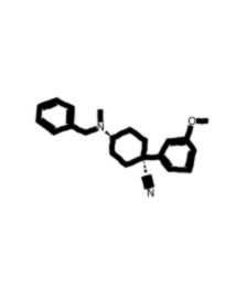 COc1cccc([C@]2(C#N)CC[C@@H](N(C)Cc3ccccc3)CC2)c1